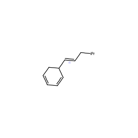 CC(C)C/C=C/C1C=CC=CC1